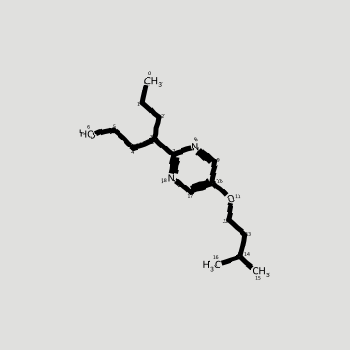 CCCC(CCO)c1ncc(OCCC(C)C)cn1